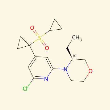 CC[C@H]1COCCN1c1cc(C2(S(=O)(=O)C3CC3)CC2)cc(Cl)n1